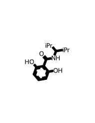 CC(C)C(NC(=O)c1c(O)cccc1O)C(C)C